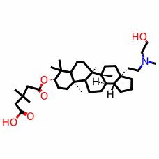 CN(CCO)CC[C@]12CCC[C@@H]1[C@H]1CCC3[C@@]4(C)CC[C@H](OC(=O)CC(C)(C)CC(=O)O)C(C)(C)C4CC[C@@]3(C)[C@]1(C)CC2